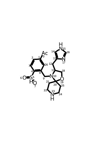 CC(=O)c1ccc([SH](=O)=O)c(CN2C(Cc3c[nH]cn3)COC23CCNCC3)c1